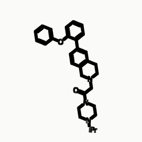 CC(C)N1CCN(C(=O)CN2CCc3cc(-c4ccccc4Oc4ccccc4)ccc3C2)CC1